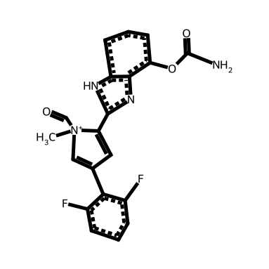 C[N+]1(C=O)C=C(c2c(F)cccc2F)C=C1c1nc2c(OC(N)=O)cccc2[nH]1